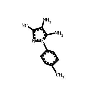 Cc1ccc(-n2nc(C#N)c(N)c2N)cc1